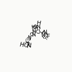 Cc1ccn2c(-c3ccc(Nc4ccc(N5CCCC(O)(CN(C)C)C5)cn4)c4c3CNC4=O)cnc2c1F